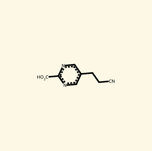 N#CCCc1cnc(C(=O)O)nc1